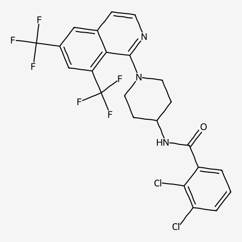 O=C(NC1CCN(c2nccc3cc(C(F)(F)F)cc(C(F)(F)F)c23)CC1)c1cccc(Cl)c1Cl